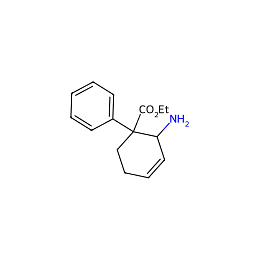 CCOC(=O)C1(c2ccccc2)CCC=CC1N